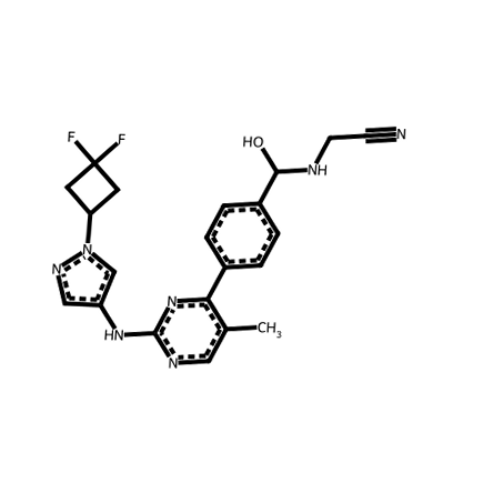 Cc1cnc(Nc2cnn(C3CC(F)(F)C3)c2)nc1-c1ccc(C(O)NCC#N)cc1